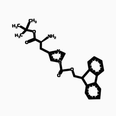 CC(C)(C)OC(=O)[C@@H](N)Cc1cn(C(=O)OCC2c3ccccc3-c3ccccc32)cn1